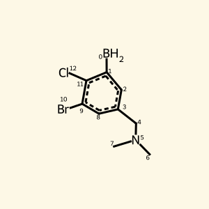 Bc1cc(CN(C)C)cc(Br)c1Cl